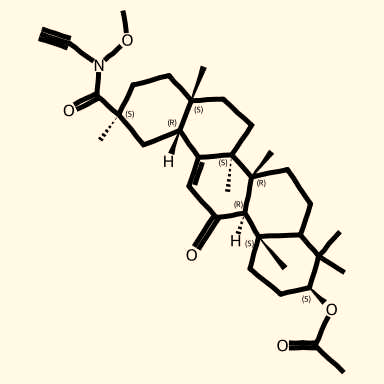 C#CN(OC)C(=O)[C@@]1(C)CC[C@]2(C)CC[C@]3(C)C(=CC(=O)[C@@H]4[C@@]5(C)CC[C@H](OC(C)=O)C(C)(C)C5CC[C@]43C)[C@@H]2C1